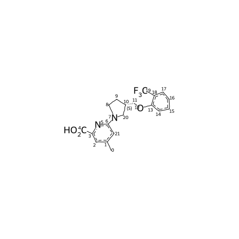 Cc1cc(C(=O)O)nc(N2CC[C@H](COc3ccccc3C(F)(F)F)C2)c1